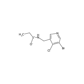 CC[S+]([O-])NCc1cncc(Br)c1Cl